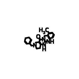 Cc1ccccc1Cn1c(=N)[nH]c2c(c1=O)CN(CC1=CCCC=C1)CC2